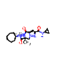 CN1C(=O)c2cc(C(=O)NC3CC3)nn2CC1(C)C(=O)NC1CCCCCC1